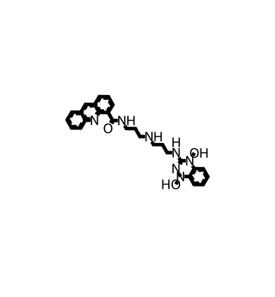 O=C(NCCCNCCCNC1=NN(O)c2ccccc2N1O)c1cccc2cc3ccccc3nc12